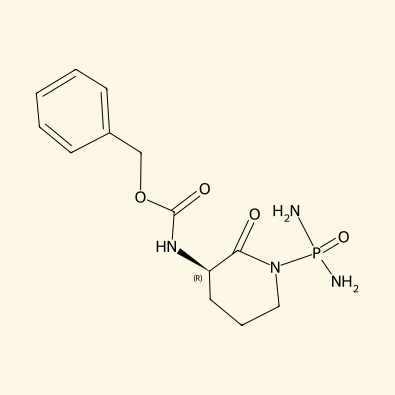 NP(N)(=O)N1CCC[C@@H](NC(=O)OCc2ccccc2)C1=O